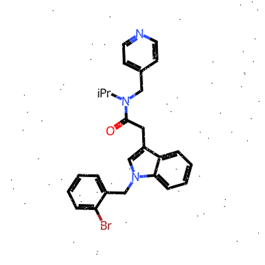 CC(C)N(Cc1ccncc1)C(=O)Cc1cn(Cc2ccccc2Br)c2ccccc12